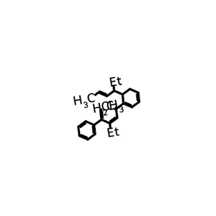 C=C(/C=C(CC)\C(=C/C)c1ccccc1)C1=CC=CCC1C(C=CC)CC